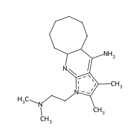 Cc1c(C)n(CCN(C)C)c2c1=C(N)C1CCCCCCC1N=2